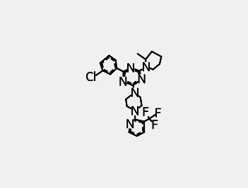 CC1CCCCN1c1nc(-c2cccc(Cl)c2)nc(N2CCN(c3ncccc3C(F)(F)F)CC2)n1